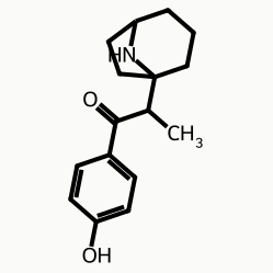 CC(C(=O)c1ccc(O)cc1)C12CCCC(CC1)N2